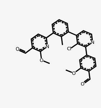 COc1cc(-c2nccc(-c3cccc(-c4ccc(C=O)c(OC)n4)c3C)c2Cl)ccc1C=O